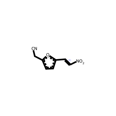 N#CCc1ccc(/C=C/[N+](=O)[O-])o1